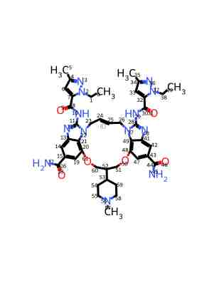 CCn1nc(C)cc1C(=O)Nc1nc2cc(C(N)=O)cc3c2n1C/C=C/Cn1c(NC(=O)c2cc(C)nn2CC)nc2cc(C(N)=O)cc(c21)OCC(C1CCN(C)CC1)CO3